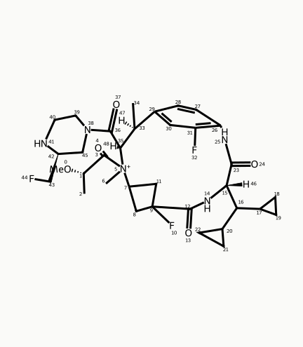 CO[C@@H](C)C(=O)[N+]1(C)C2CC(F)(C2)C(=O)N[C@@H](C(C2CC2)C2CC2)C(=O)Nc2ccc(cc2F)[C@H](C)[C@@H]1C(=O)N1CCN[C@H](CF)C1